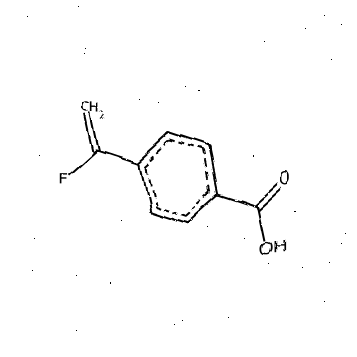 C=C(F)c1ccc(C(=O)O)cc1